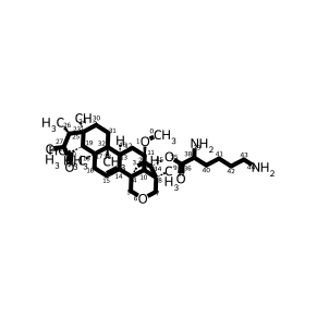 CO[C@@H]1C[C@@]23COC[C@@](C)([C@@H]2CC[C@H]2C3=CC[C@@]3(C)[C@H](C(=O)O)[C@@](C)([C@H](C)C(C)C)CC[C@]23C)[C@H]1OC(=O)C(N)CCCCN